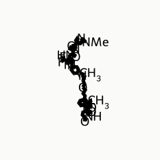 CNc1cc(-c2nc(C(=O)Nc3cn([C@H]4CC[C@H](CN(C)CCCOCCCc5cccc6c5n(C)c(=O)n6C5CCC(=O)NC5=O)CC4)nc3C(F)F)co2)ccn1